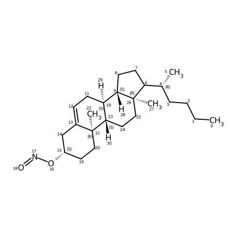 CCCC[C@@H](C)C1CC[C@H]2[C@@H]3CC=C4C[C@@H](ON=O)CC[C@]4(C)[C@H]3CC[C@]12C